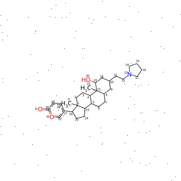 CC12CCC3C(CCC4CC([CH]CN5CCCC5)CC(O)C43C)C1CCC2c1ccc(=O)oc1